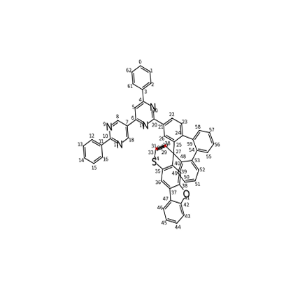 c1ccc(-c2cc(-c3cnc(-c4ccccc4)nc3)nc(-c3ccc4c(c3)C3(c5ccccc5Sc5cc6c(cc53)oc3ccccc36)c3ccccc3-c3ccccc3-4)n2)cc1